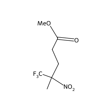 COC(=O)CCC(C)([N+](=O)[O-])C(F)(F)F